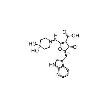 O=C(O)C1=C(NN2CCS(O)(O)CC2)O/C(=C\c2c[nH]c3ncccc23)C1=O